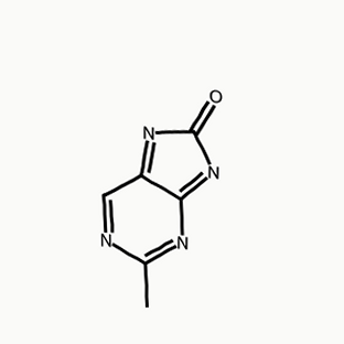 Cc1ncc2c(n1)=NC(=O)N=2